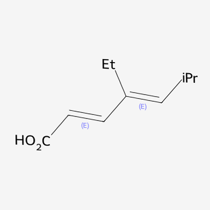 CCC(/C=C/C(=O)O)=C\C(C)C